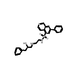 O=S(=O)(NCCNCC(O)Cc1ccccc1)c1cc(-c2ccccc2)cc2cnccc12